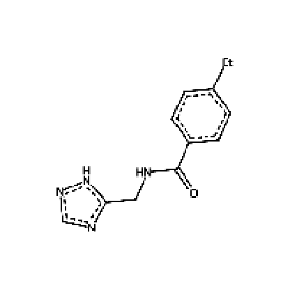 CCc1ccc(C(=O)NCc2ncn[nH]2)cc1